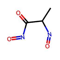 CC(N=O)C(=O)N=O